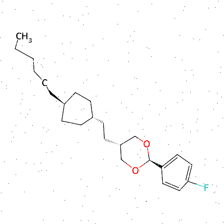 CCCCCC[C@H]1CC[C@H](CC[C@H]2CO[C@H](c3ccc(F)cc3)OC2)CC1